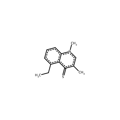 CCc1cccc2c1c(=S)c(C)cn2C